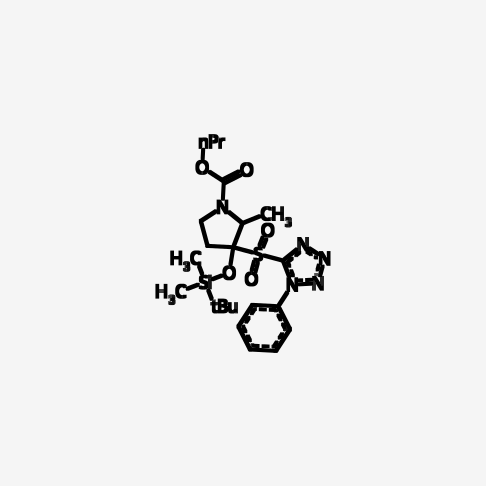 CCCOC(=O)N1CCC(O[Si](C)(C)C(C)(C)C)(S(=O)(=O)c2nnnn2-c2ccccc2)C1C